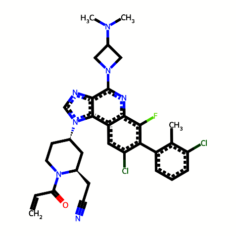 C=CC(=O)N1CC[C@H](n2cnc3c(N4CC(N(C)C)C4)nc4c(F)c(-c5cccc(Cl)c5C)c(Cl)cc4c32)C[C@H]1CC#N